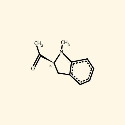 CC(=O)[C@@H]1Cc2ccccc2N1C